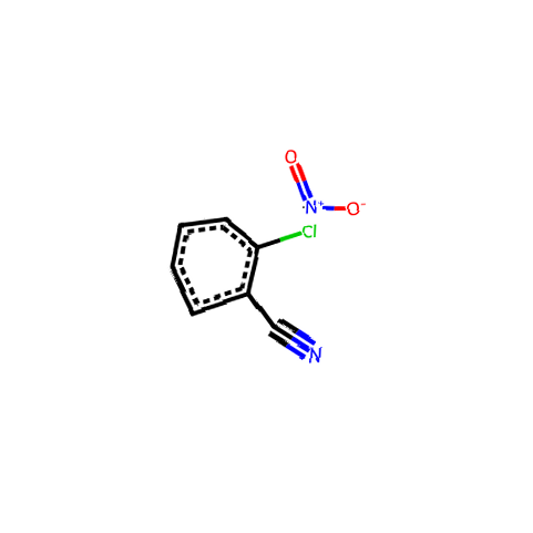 N#Cc1ccccc1Cl.O=[N+][O-]